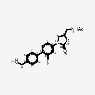 CC(=O)NCC1CN(c2ccc(-c3ccc(CO)cc3)c(F)c2)C(=O)O1